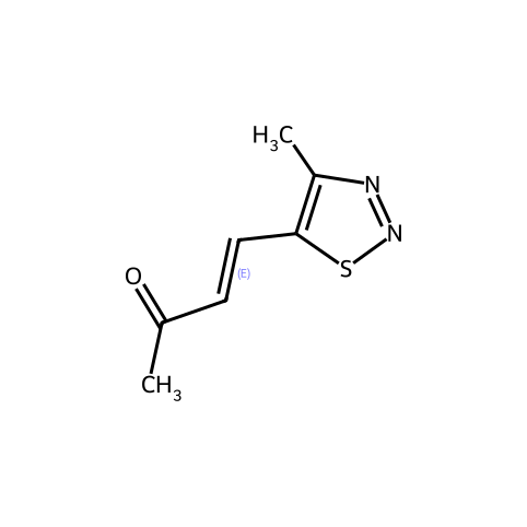 CC(=O)/C=C/c1snnc1C